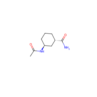 CC(=O)N[C@H]1CCC[C@H](C(N)=O)C1